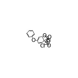 O=S(=O)(Cl)C1(S(=O)(=O)Cl)C=CC(Oc2ccccc2)=CC1